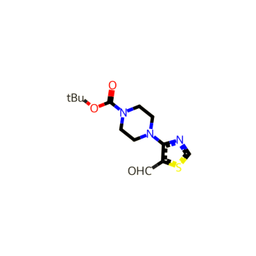 CC(C)(C)OC(=O)N1CCN(c2ncsc2C=O)CC1